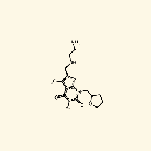 CCn1c(=O)c2c(C)c(CNCCN)sc2n(CC2CCCO2)c1=O